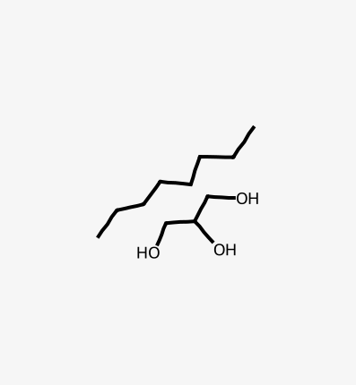 CCCCCCCC.OCC(O)CO